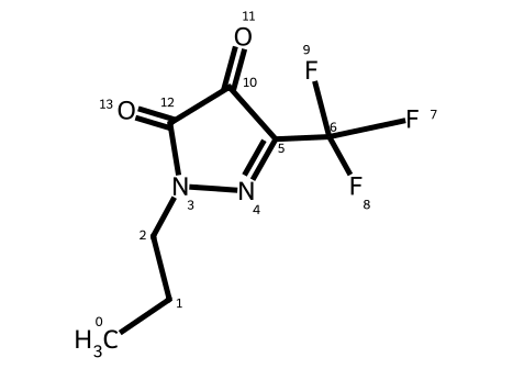 CCCN1N=C(C(F)(F)F)C(=O)C1=O